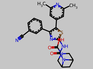 Cc1cc(-c2sc(NC(=O)N3C4CC3CN(C(=O)O)C4)nc2-c2cccc(C#N)c2)cc(C)n1